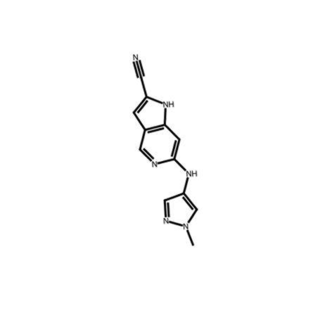 Cn1cc(Nc2cc3[nH]c(C#N)cc3cn2)cn1